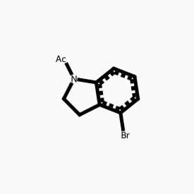 CC(=O)N1CCc2c(Br)cccc21